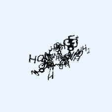 CCS(=O)(=O)c1ccc(CNC(=O)[C@H](CCC(N)=O)NC(=O)[C@@H]2CC[C@@H]3CCN(C(=O)CCCCCNC(=O)C[C@H](NC(=O)[C@H]4C[C@H](O)CN4C(=O)[C@H]4n5nnc(C6CC6)c5COCC4(C)C)c4ccc(-c5scnc5C)cc4)C[C@H](NC(=O)c4cc5cc(C(=O)P(=O)(O)O)ccc5[nH]4)C(=O)N32)cc1